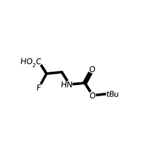 CC(C)(C)OC(=O)NCC(F)C(=O)O